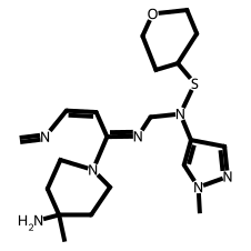 C=N/C=C\C(=N/CN(SC1CCOCC1)c1cnn(C)c1)N1CCC(C)(N)CC1